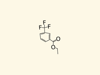 CCOC(=O)c1cccc(C(F)(F)F)c1